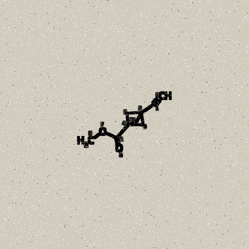 C#CC12CC(C(=O)OC)(C1)C2